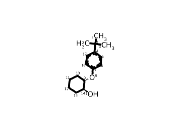 CC(C)(C)c1ccc(O[C@H]2CCCC[C@@H]2O)cc1